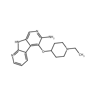 CCN1CCC(Oc2c(N)ncc3[nH]c4ncccc4c23)CC1